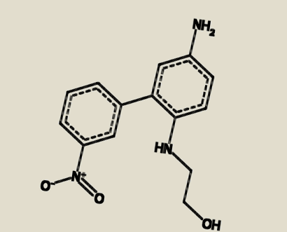 Nc1ccc(NCCO)c(-c2cccc([N+](=O)[O-])c2)c1